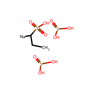 CC[CH]([Na])S(=O)(=O)O.O=S(O)O.O=S(O)O